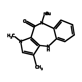 CCCCN1C(=O)c2c(c(C)cn2C)Nc2ccccc21